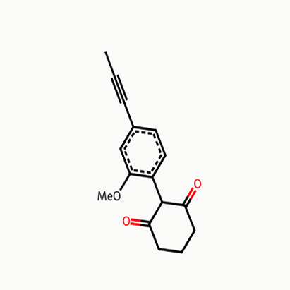 CC#Cc1ccc(C2C(=O)CCCC2=O)c(OC)c1